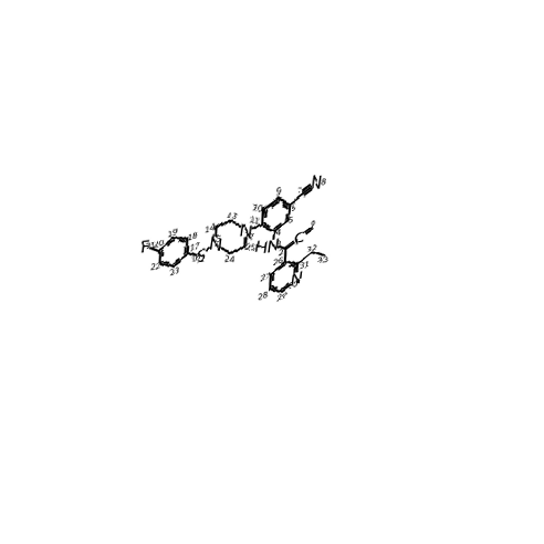 C=C=C(Nc1cc(C#N)ccc1N1CCN(Sc2ccc(F)cc2)CC1)c1cccnc1CC